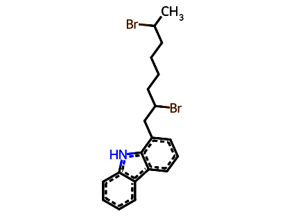 CC(Br)CCCCC(Br)Cc1cccc2c1[nH]c1ccccc12